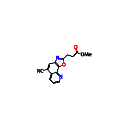 COC(=O)CCc1nc2cc(C#N)c3cccnc3c2o1